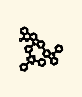 O=c1oc2c(ccc3c4ccc(-c5ccc6c7ccccc7n(-c7ccccc7)c6c5)cc4n(-c4cccc(-c5nc(-c6ccccc6)nc(-c6ccccc6)n5)c4)c32)c2ccccc12